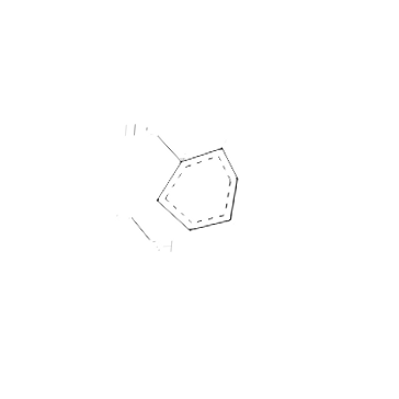 BCl.Cc1ccccc1